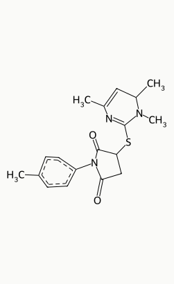 CC1=CC(C)N(C)C(SC2CC(=O)N(c3ccc(C)cc3)C2=O)=N1